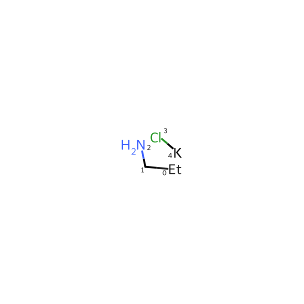 [CH2]CCN.[Cl][K]